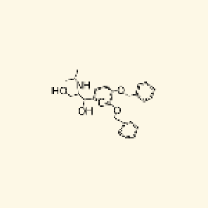 CC(C)NC(CO)C(O)c1ccc(OCc2ccccc2)c(OCc2ccccc2)c1